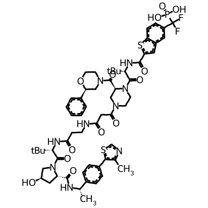 Cc1ncsc1-c1ccc([C@H](C)NC(=O)[C@@H]2C[C@@H](O)CN2C(=O)[C@@H](NC(=O)CCNC(=O)CC(=O)N2CCN(C(=O)[C@@H](NC(=O)c3cc4cc(C(F)(F)P(=O)(O)O)ccc4s3)C(C)(C)C)[C@H](C(=O)N3CCO[C@H](c4ccccc4)C3)C2)C(C)(C)C)cc1